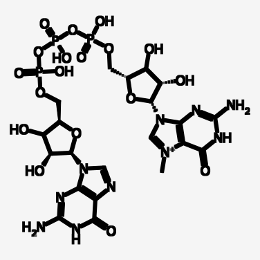 C[n+]1cn([C@@H]2O[C@H](COP(=O)(O)OP(=O)(O)OP(=O)(O)OC[C@H]3O[C@@H](n4cnc5c(=O)[nH]c(N)nc54)[C@@H](O)C3O)C(O)[C@@H]2O)c2nc(N)[nH]c(=O)c21